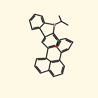 CC(C)n1c2ccccc2c2cc(-c3cccc4cccc(-c5ccccc5)c34)ccc21